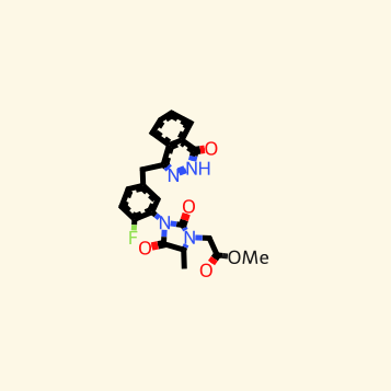 COC(=O)CN1C(=O)N(c2cc(Cc3n[nH]c(=O)c4ccccc34)ccc2F)C(=O)C1C